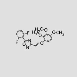 COc1ccc(OC=Cc2noc(-c3c(F)cccc3F)n2)c(OC)c1OC